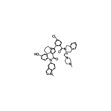 CN1CCN(C[C@@H]2Cc3ccccc3CN2C(=O)c2ccc(Cl)cc2-c2cc(C(=O)N(c3ccc(O)cc3)c3ccc4c(ccn4C)c3)c3n2CCCC3)CC1